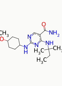 CCC(C)(C)Nc1nc(NC2CCC(OC)CC2)ncc1C(N)=O